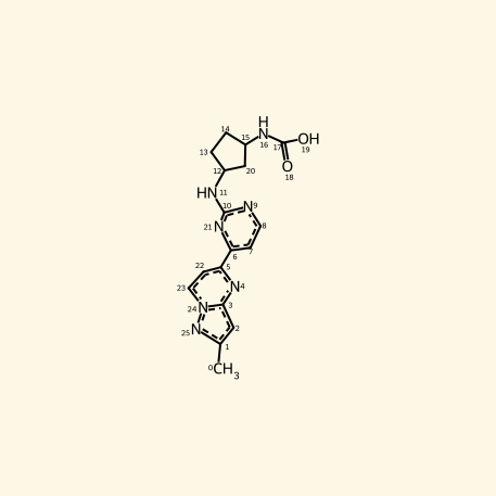 Cc1cc2nc(-c3ccnc(NC4CCC(NC(=O)O)C4)n3)ccn2n1